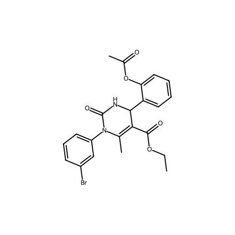 CCOC(=O)C1=C(C)N(c2cccc(Br)c2)C(=O)NC1c1ccccc1OC(C)=O